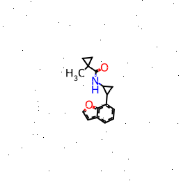 CC1(C(=O)NC2CC2c2cccc3ccoc23)CC1